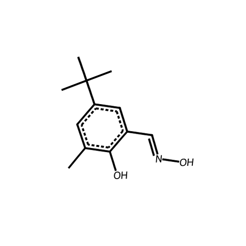 Cc1cc(C(C)(C)C)cc(C=NO)c1O